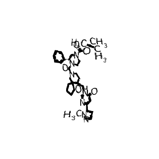 Cn1nccc1-c1cc(=O)n(C[C@]2(O)CCN(C(=O)N3CCN(C(=O)OC(C)(C)C)C[C@H]3c3ccccc3)CC23CCCC3)cn1